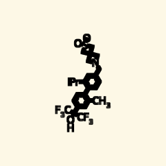 Cc1cc(C(O)(C(F)(F)F)C(F)(F)F)ccc1-c1ccc(CN2CC3(C2)CS(=O)(=O)C3)cc1C(C)C